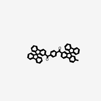 Cc1ccc2c(c1)C1(c3ccccc3-c3ccccc31)c1cc(C(=O)c3ccc(C(=O)c4ccc5c(c4)C4(c6ccccc6-c6ccccc64)c4ccccc4-5)cc3)ccc1-2